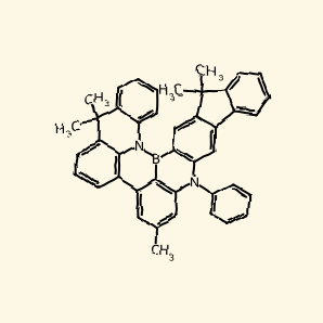 Cc1cc2c3c(c1)N(c1ccccc1)c1cc4c(cc1B3N1c3ccccc3C(C)(C)c3cccc-2c31)C(C)(C)c1ccccc1-4